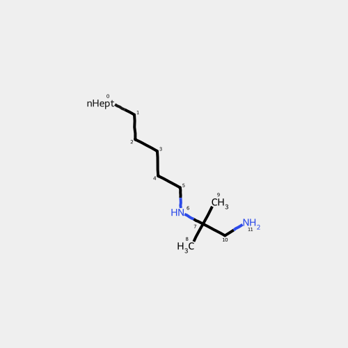 CCCCCCCCCCCCNC(C)(C)CN